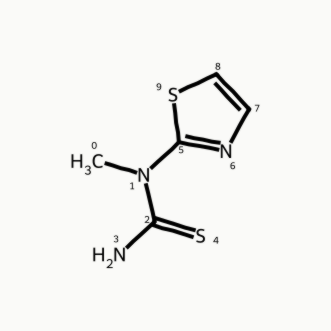 CN(C(N)=S)c1nccs1